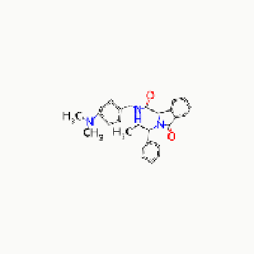 CCC(c1ccccc1)N1C(=O)c2ccccc2C1C(=O)NCc1ccc(N(C)C)cc1